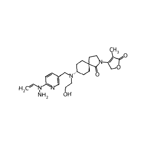 C=CN(N)c1ccc(CN(CCO)[C@H]2CC[C@]3(CCN(C4=C(C)C(=O)OC4)C3=O)CC2)cn1